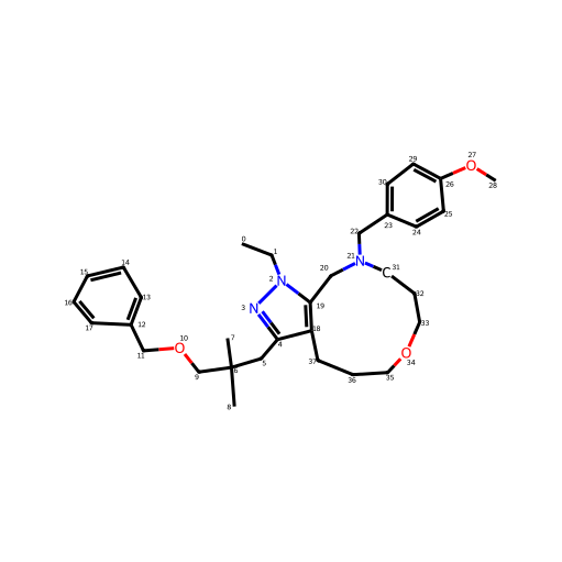 CCn1nc(CC(C)(C)COCc2ccccc2)c2c1CN(Cc1ccc(OC)cc1)CCCOCCC2